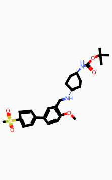 COc1ccc(-c2ccc(S(C)(=O)=O)cc2)cc1CN[C@H]1CC[C@H](NC(=O)OC(C)(C)C)CC1